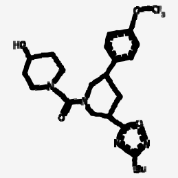 CC(C)(C)c1noc(C2CC(c3ccc(OC(F)(F)F)cc3)CN(C(=O)N3CCC(O)CC3)C2)n1